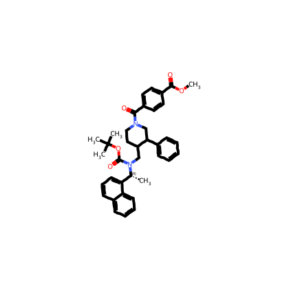 COC(=O)c1ccc(C(=O)N2CCC(CN(C(=O)OC(C)(C)C)[C@H](C)c3cccc4ccccc34)C(c3ccccc3)C2)cc1